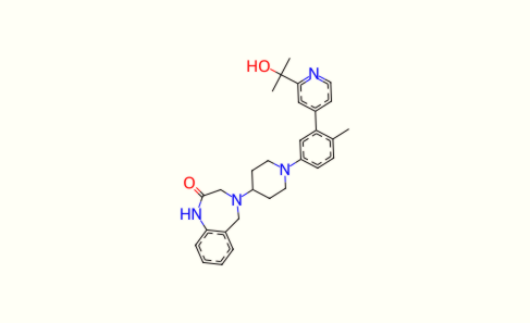 Cc1ccc(N2CCC(N3CC(=O)Nc4ccccc4C3)CC2)cc1-c1ccnc(C(C)(C)O)c1